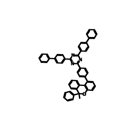 CC1(c2ccccc2)Oc2cccc(-c3ccc(-c4nc(-c5ccc(-c6ccccc6)cc5)nc(-c5ccc(-c6ccccc6)cc5)n4)cc3)c2-c2ccccc21